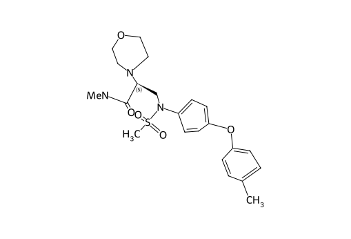 CNC(=O)[C@H](CN(c1ccc(Oc2ccc(C)cc2)cc1)S(C)(=O)=O)N1CCOCC1